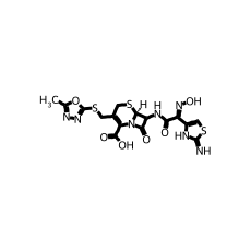 Cc1nnc(SCC2=C(C(=O)O)N3C(=O)C(NC(=O)C(=NO)c4csc(=N)[nH]4)[C@@H]3SC2)o1